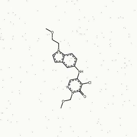 COCCn1ccc2cc(Nc3cnn(COC)c(=O)c3Cl)ccc21